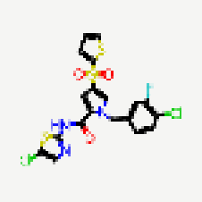 O=C(Nc1n[c]c(Cl)s1)c1cc(S(=O)(=O)c2cccs2)cn1Cc1ccc(Cl)c(F)c1